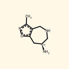 Cc1noc2c1CNC[C@@H](N)C2